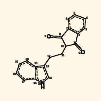 O=C1c2ccccc2C(=O)C1CCc1c[nH]c2ccccc12